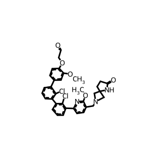 COc1cc(-c2cccc(-c3cccc(-c4ccc(CN5CC6(CCC(=O)N6)C5)c(OC)n4)c3Cl)c2Cl)ccc1OCC=O